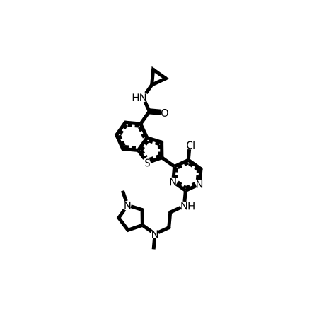 CN1CCC(N(C)CCNc2ncc(Cl)c(-c3cc4c(C(=O)NC5CC5)cccc4s3)n2)C1